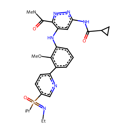 CCN=S(=O)(c1ccc(-c2cccc(Nc3cc(NC(=O)C4CC4)nnc3C(=O)NC)c2OC)nc1)C(C)C